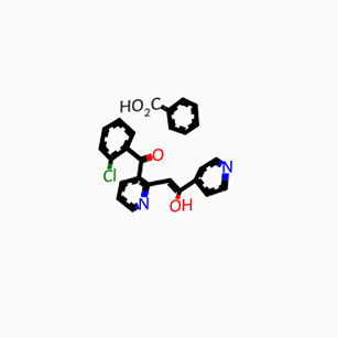 O=C(O)c1ccccc1.O=C(c1ccccc1Cl)c1cccnc1C=C(O)c1ccncc1